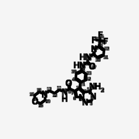 Nc1ncnn2cc(C(=O)NCCCN3CCOCC3)c(-c3ccc(NC(=O)Nc4cccc(C(F)(F)F)n4)cc3)c12